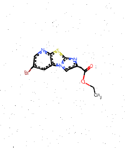 CCOC(=O)c1cn2c(n1)sc1ncc(Br)cc12